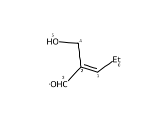 CCC=C([C]=O)CO